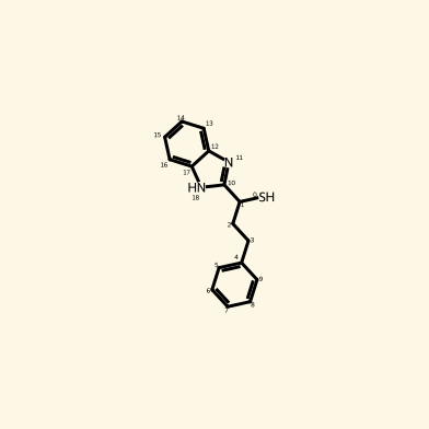 SC(CCc1ccccc1)c1nc2ccccc2[nH]1